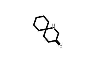 O=C1CCC2(CCCCC2)NC1